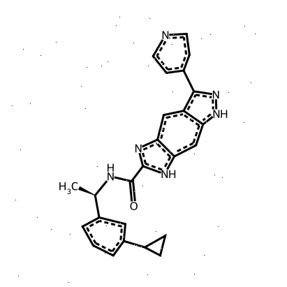 C[C@@H](NC(=O)c1nc2cc3c(-c4ccncc4)n[nH]c3cc2[nH]1)c1cccc(C2CC2)c1